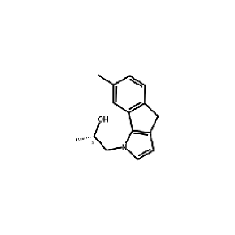 Cc1ccc2c(c1)-c1c(ccn1C[C@H](C)O)C2